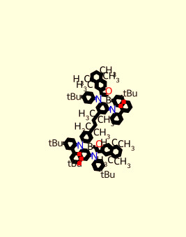 CC(C)(C)c1ccc(N2c3cc(C(C)(C)C)cc4c3B(c3cc(C(C)(C)CCC(C)(C)c5cc6c7c(c5)N(c5ccc(C(C)(C)C)cc5)c5c(oc8cc9c(cc58)C(C)(C)CCC9(C)C)B7c5cc(C(C)(C)C)ccc5N6c5ccccc5-c5ccccc5)ccc3N4c3ccc(C(C)(C)C)cc3-c3ccccc3)c3oc4cc5c(cc4c32)C(C)(C)CCC5(C)C)cc1